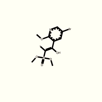 COc1ncc(Br)cc1C(O)=C(I)P(=O)(OC)OC